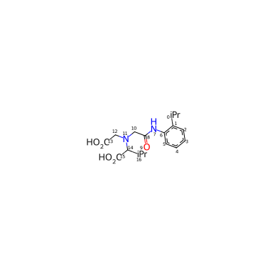 CC(C)c1ccccc1NC(=O)CN(CC(=O)O)C(C(=O)O)C(C)C